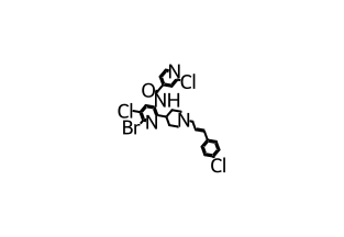 O=C(Nc1cc(Cl)c(Br)nc1C1CCN(C/C=C/c2ccc(Cl)cc2)CC1)c1ccnc(Cl)c1